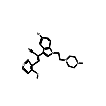 COc1ccncc1C=C(C#N)c1cn(CCN2CCN(C)CC2)c2ccc(Br)cc12